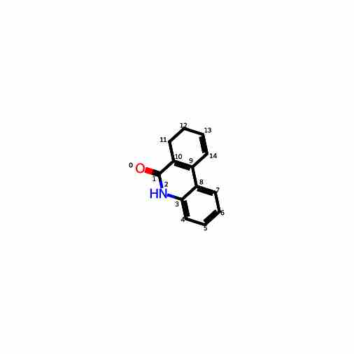 O=c1[nH]c2ccccc2c2c1CCC=C2